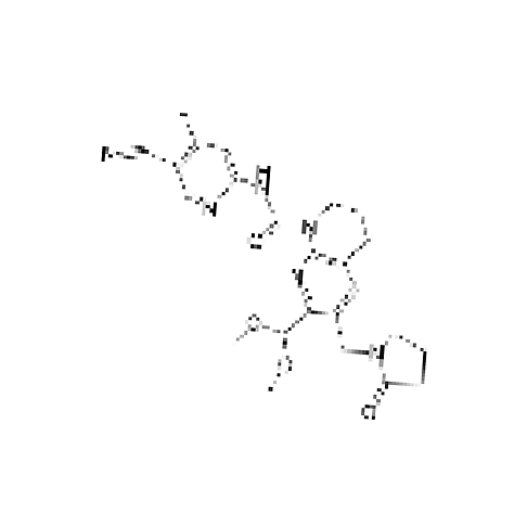 COC(OC)c1nc2c(cc1CN1CCCC1=O)CCCN2C(=O)Nc1cc(F)c(C#N)cn1